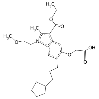 CCOC(=O)c1c(C)n(CCOC)c2cc(CCCC3CCCC3)c(OCC(=O)O)cc12